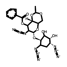 CC1OCC2O[C@H](O[C@@H]3C(N=[N+]=[N-])C[C@@H](N=[N+]=[N-])[C@@H](O)C3O)C(N=[N+]=[N-])C(OC(=O)c3ccccc3)[C@@H]2O1